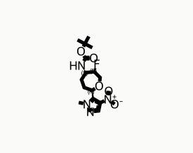 Cn1ncc([N+](=O)[O-])c1[C@H]1CC[C@H](NC(=O)OC(C)(C)C)[C@@H](F)CO1